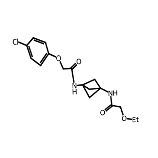 CCOCC(=O)NC12CC(NC(=O)COc3ccc(Cl)cc3)(C1)C2